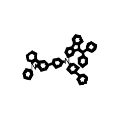 C1=Cc2c(n(-c3ccccc3)c3ccc(-c4ccc(N(c5ccc(-c6ccccc6)cc5)c5ccc6c(c5)C(=C(c5ccccc5)c5ccccc5)c5ccccc5-6)cc4)cc23)CC1